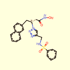 O=C(C[C@@H](Cc1ccc2ccccc2c1)n1cc(CNS(=O)(=O)c2ccccc2)nn1)NO